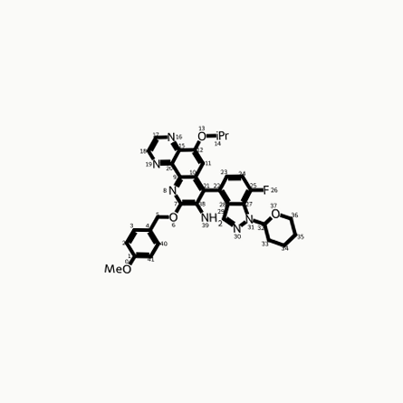 COc1ccc(COc2nc3c(cc(OC(C)C)c4nccnc43)c(-c3ccc(F)c4c3cnn4C3CCCCO3)c2N)cc1